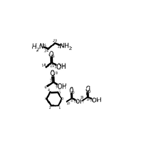 C1CCCCC1.CC(=O)O.CC(=O)O.CC(=O)O.CC(=O)O.NCCN